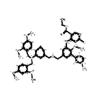 CCOC(=O)c1cnc(Cl)nc1Nc1cc(COCc2cccc(N(Cc3ccc(OC)cc3OC)Cc3ccc(OC)cc3OC)c2)cc(-c2ncn(C)n2)c1OC